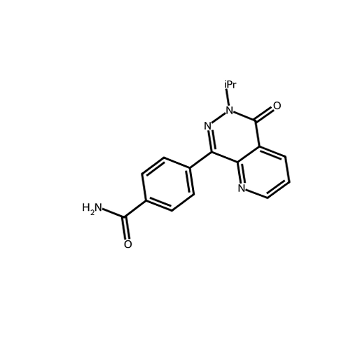 CC(C)n1nc(-c2ccc(C(N)=O)cc2)c2ncccc2c1=O